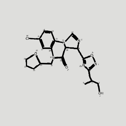 CC(CO)c1noc(C2N=CN3c4ccc(Cl)cc4N(CC4CCCO4)C(=O)C23)n1